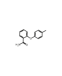 Cc1ccc(Oc2ccccc2C(N)=O)cc1